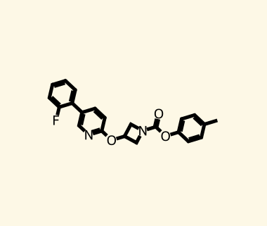 Cc1ccc(OC(=O)N2CC(Oc3ccc(-c4ccccc4F)cn3)C2)cc1